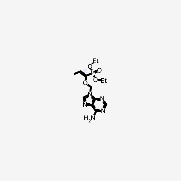 C/C=C(\OCn1cnc2c(N)ncnc21)P(=O)(OCC)OCC